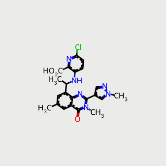 Cc1cc(C(C)Nc2ccc(Cl)nc2C(=O)O)c2nc(-c3cnn(C)c3)n(C)c(=O)c2c1